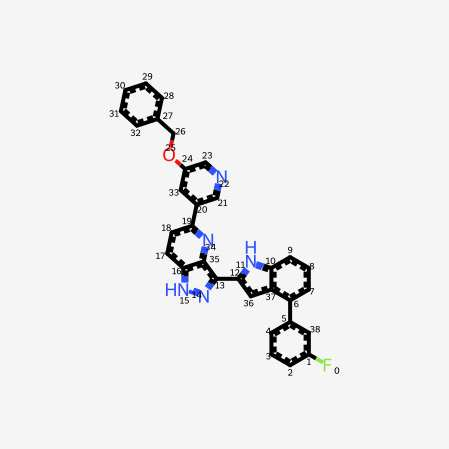 Fc1cccc(-c2cccc3[nH]c(-c4n[nH]c5ccc(-c6cncc(OCc7ccccc7)c6)nc45)cc23)c1